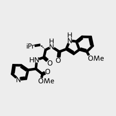 COC(=O)C(NC(=O)[C@H](CC(C)C)NC(=O)c1cc2c(OC)cccc2[nH]1)c1cccnc1